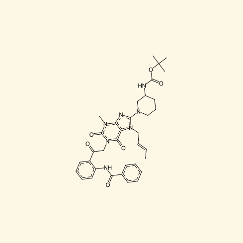 C/C=C/Cn1c(N2CCCC(NC(=O)OC(C)(C)C)C2)nc2c1c(=O)n(CC(=O)c1ccccc1NC(=O)c1ccccc1)c(=O)n2C